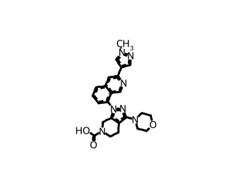 Cn1cc(-c2cc3cccc(-n4nc(N5CCOCC5)c5c4CN(C(=O)O)CC5)c3cn2)cn1